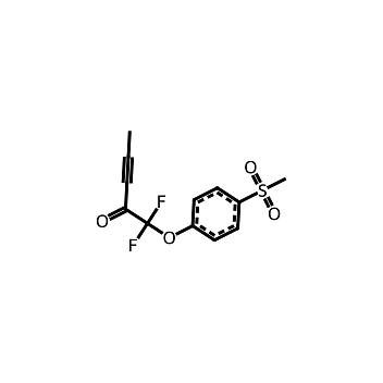 CC#CC(=O)C(F)(F)Oc1ccc(S(C)(=O)=O)cc1